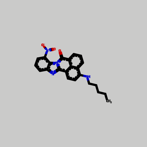 CCCCCNc1ccc2c3c1cccc3c(=O)n1c2nc2cccc([N+](=O)[O-])c21